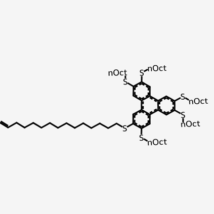 C=CCCCCCCCCCCCCCSc1cc2c3cc(SCCCCCCCC)c(SCCCCCCCC)cc3c3cc(SCCCCCCCC)c(SCCCCCCCC)cc3c2cc1SCCCCCCCC